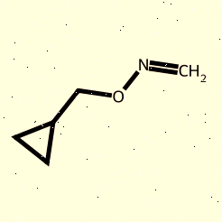 C=NOCC1CC1